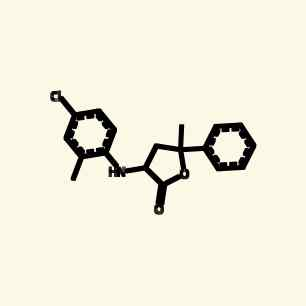 Cc1cc(Cl)ccc1NC1CC(C)(c2ccccc2)OC1=O